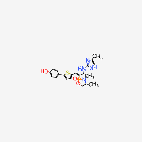 Cc1c[nH]c(NC/C(=C/c2ccc(-c3ccc(O)cc3)s2)P2(=O)OC[C@H](C)N2C)n1